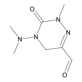 CN1N=C(C=O)CN(N(C)C)C1=O